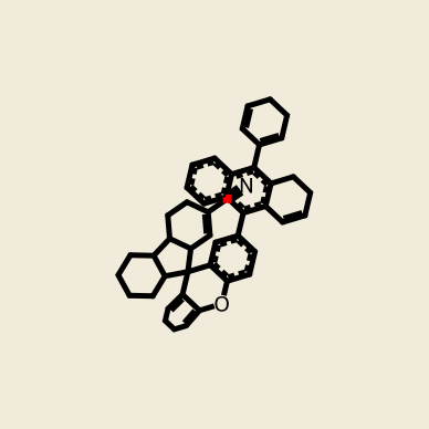 N#CC1=CC2C(CC1)C1CCCCC1C21C2=CCCC=C2Oc2ccc(-c3c4c(c(C5=CCCC=C5)c5ccccc35)CCC=C4)cc21